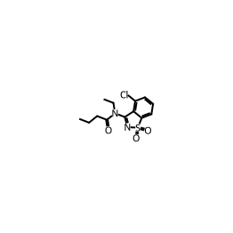 CCCC(=O)N(CC)C1=NS(=O)(=O)c2cccc(Cl)c21